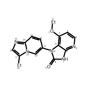 CCOc1ccnc2[nH]c(=O)n(-c3ccc4ncc(CC)n4c3)c12